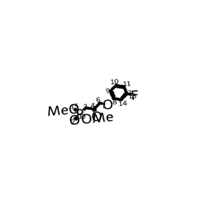 COP(=O)(CC(=O)COc1cccc(F)c1)OC